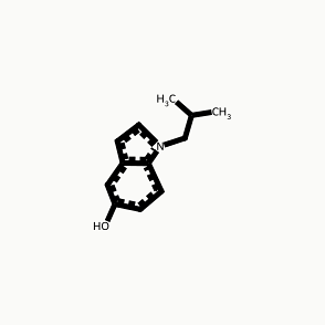 C[C](C)Cn1ccc2cc(O)ccc21